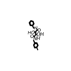 Cc1ccc(CNC(=O)[C@H](O)[C@@H](O)C(=O)N(C)Cc2ccccc2)cc1